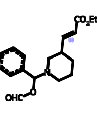 CCOC(=O)/C=C/C1CCCN(C(OC=O)c2ccccc2)C1